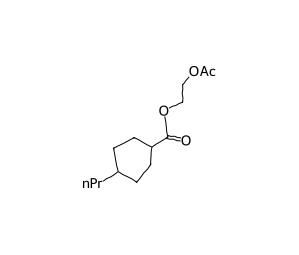 CCCC1CCC(C(=O)OCCOC(C)=O)CC1